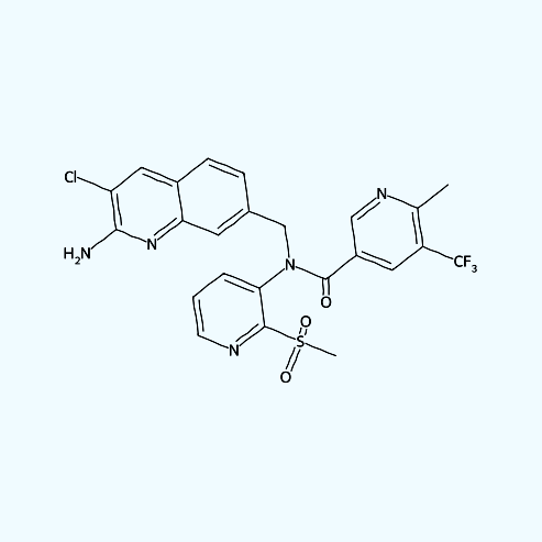 Cc1ncc(C(=O)N(Cc2ccc3cc(Cl)c(N)nc3c2)c2cccnc2S(C)(=O)=O)cc1C(F)(F)F